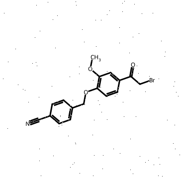 COc1cc(C(=O)CBr)ccc1OCc1ccc(C#N)cc1